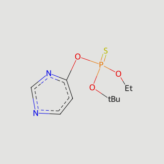 CCOP(=S)(Oc1ccncn1)OC(C)(C)C